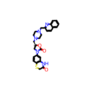 O=C1CSc2ccc(N3C[C@@H](CN4CCN(Cc5ccc6ccccc6n5)CC4)OC3=O)cc2N1